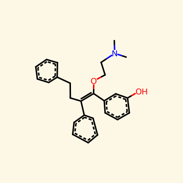 CN(C)CCOC(=C(CCc1ccccc1)c1ccccc1)c1cccc(O)c1